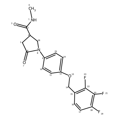 CNC(=O)C1CC(=O)N(c2ccc(OCc3ccc(F)c(F)c3F)cc2)C1